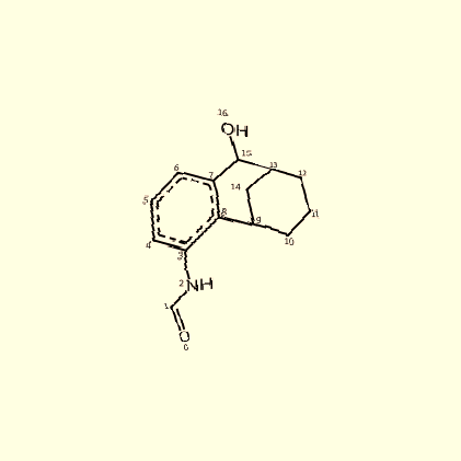 O=CNc1cccc2c1C1CCCC(C1)C2O